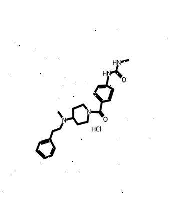 CNC(=O)Nc1ccc(C(=O)N2CCC(N(C)CCc3ccccc3)CC2)cc1.Cl